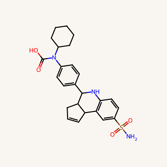 NS(=O)(=O)c1ccc2c(c1)C1C=CCC1C(c1ccc(N(C(=O)O)C3CCCCC3)cc1)N2